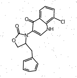 O=C1OCC(Cc2ccccc2)N1c1c[nH]c2c(Cl)cccc2c1=O